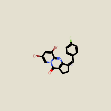 O=c1c2c(nc3c(Br)cc(Br)cn13)/C(=C\c1ccc(F)cc1)CC2